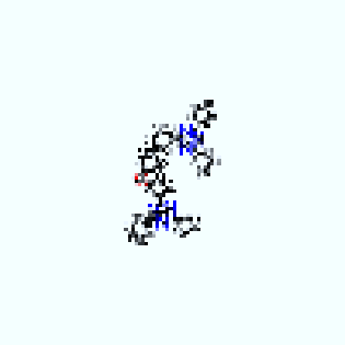 c1ccc(-c2nc(-c3ccccc3)nc(-c3cccc(-c4ccc5oc6cc(-c7nc(-c8ccccc8)nc(-c8ccccc8)n7)ccc6c5c4)c3)n2)cc1